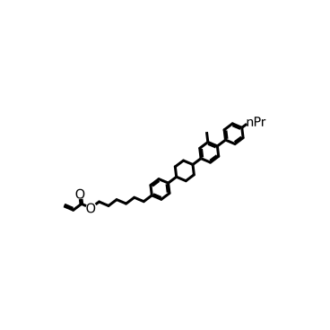 C=CC(=O)OCCCCCCc1ccc(C2CCC(c3ccc(-c4ccc(CCC)cc4)c(C)c3)CC2)cc1